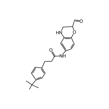 CC(C)(C)c1ccc(CCC(=O)Nc2ccc3c(c2)NCC(C=O)O3)cc1